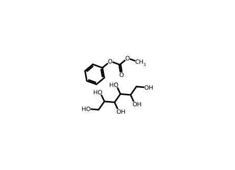 COC(=O)Oc1ccccc1.OCC(O)C(O)C(O)C(O)CO